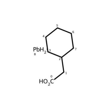 O=C(O)CC1CCCCC1.[PbH2]